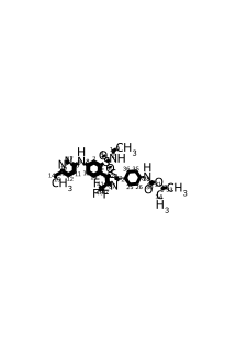 CCNS(=O)(=O)c1cc(Nc2ccc(CC)nn2)ccc1-c1sc([C@H]2CC[C@H](NC(=O)OC(C)C)CC2)nc1C(F)(F)F